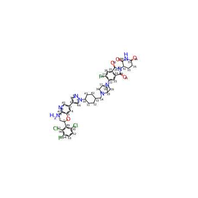 CC(Oc1cc(-c2cnn(C3CCC(CN4CC5CC4CN5c4cc5c(cc4F)C(=O)N(C4CCC(=O)NC4=O)C5=O)CC3)c2)cnc1N)c1c(Cl)ccc(F)c1Cl